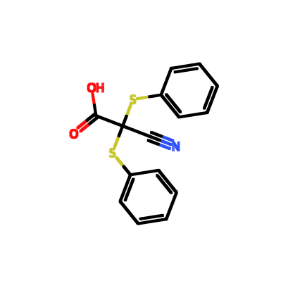 N#CC(Sc1ccccc1)(Sc1ccccc1)C(=O)O